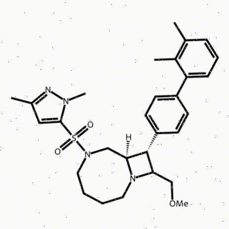 COCC1[C@@H](c2ccc(-c3cccc(C)c3C)cc2)[C@@H]2CN(S(=O)(=O)c3cc(C)nn3C)CCCCN12